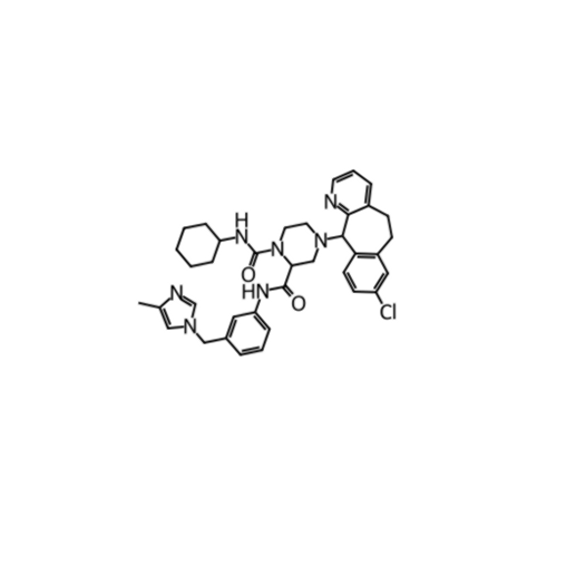 Cc1cn(Cc2cccc(NC(=O)C3CN(C4c5ccc(Cl)cc5CCc5cccnc54)CCN3C(=O)NC3CCCCC3)c2)cn1